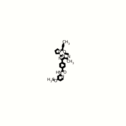 CC#CC(=O)N1CCC[C@H]1c1nc(-c2ccc(C(=O)Nc3cc(OC)ccn3)cc2)c2c(C)nccn12